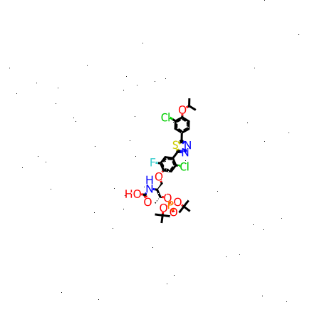 CC(C)Oc1ccc(-c2nnc(-c3cc(F)c(OC[C@H](NC(=O)O)[C@@H](C)OP(=O)(OC(C)(C)C)OC(C)(C)C)cc3Cl)s2)cc1Cl